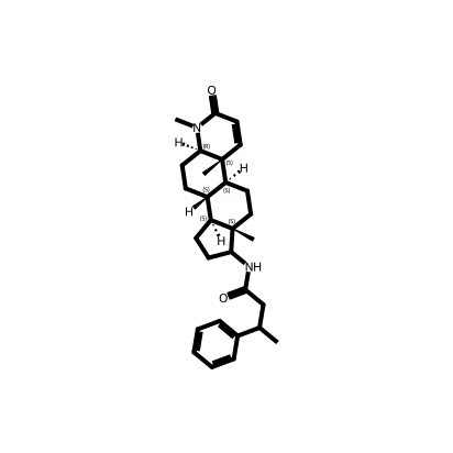 CC(CC(=O)NC1CC[C@H]2[C@@H]3CC[C@H]4N(C)C(=O)C=C[C@]4(C)[C@H]3CC[C@]12C)c1ccccc1